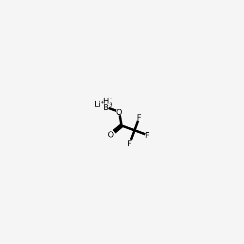 [BH3-]OC(=O)C(F)(F)F.[Li+]